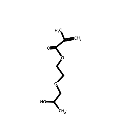 [CH2]C(O)COCCOC(=O)C(=C)C